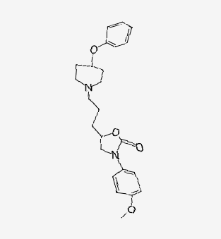 COc1ccc(N2CC(CCCN3CCC(Oc4ccccc4)CC3)OC2=O)cc1